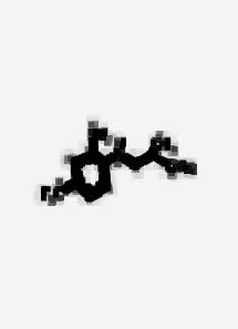 CC(=O)O[C@H](C)CNc1ccc(C(F)(F)F)cc1N